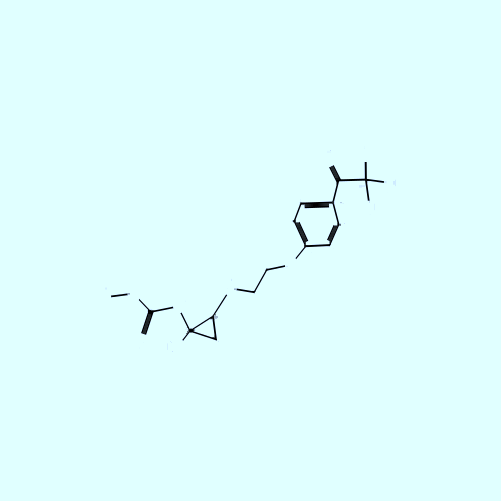 CCOC(=S)SC1(C)CC1OCCOc1ccc(C(=O)C(C)(C)O)cc1